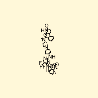 CN(Cc1ccccc1C1CCC(=O)NC1=O)C1CCN(c2ccc(Nc3ncc(C(F)(F)F)c(NCc4cccnc4N(C)S(C)(=O)=O)n3)cc2)CC1